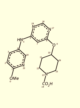 COc1ccc(Nc2cc(OC3CCN(C(=O)O)CC3)ncn2)cn1